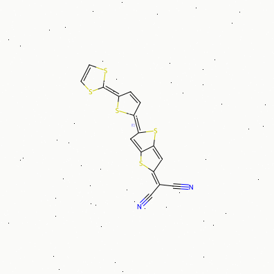 N#CC(C#N)=c1cc2s/c(=c3\ccc(=C4SC=CS4)s3)cc2s1